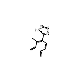 C=C/C=C\C(=C(\C)C=C)c1nnn[nH]1